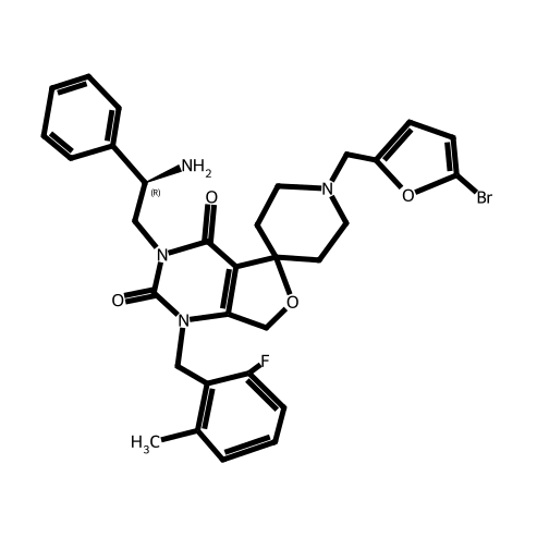 Cc1cccc(F)c1Cn1c2c(c(=O)n(C[C@H](N)c3ccccc3)c1=O)C1(CCN(Cc3ccc(Br)o3)CC1)OC2